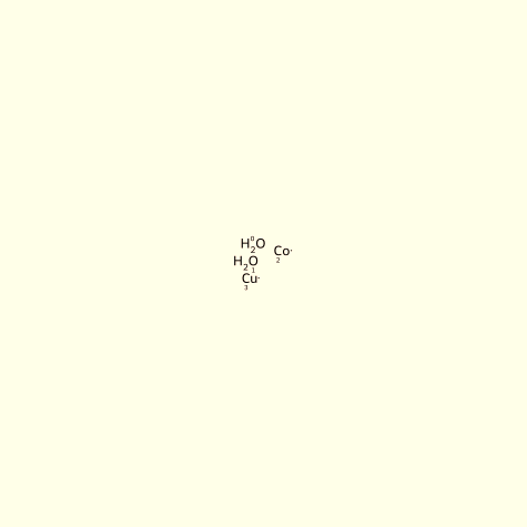 O.O.[Co].[Cu]